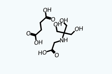 O=C(O)CCC(=O)O.O=C(O)CNC(CO)(CO)CO